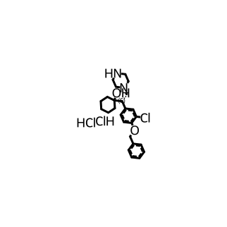 Cl.Cl.OC1([C@H](CN2CCNCC2)c2ccc(OCc3ccccc3)c(Cl)c2)CCCCC1